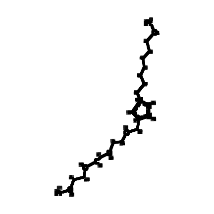 CC(C)OCCCCCCCn1cc(COCCOCCOCCOC(C)C)nn1